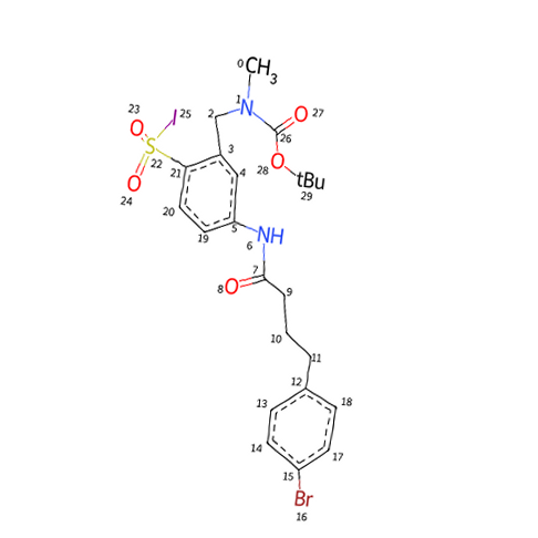 CN(Cc1cc(NC(=O)CCCc2ccc(Br)cc2)ccc1S(=O)(=O)I)C(=O)OC(C)(C)C